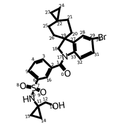 O=C(c1cccc(S(=O)(=O)NC2(CO)CC2)c1)N1CC2(CCC3(CC3)CC2)c2cc(Br)ccc21